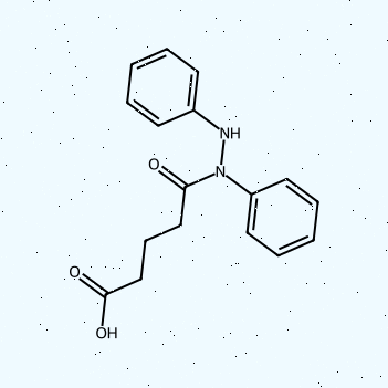 O=C(O)CCCC(=O)N(Nc1ccccc1)c1ccccc1